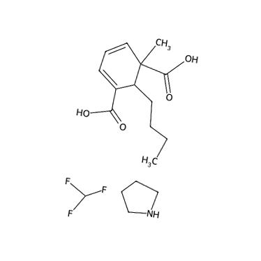 C1CCNC1.CCCCC1C(C(=O)O)=CC=CC1(C)C(=O)O.FC(F)F